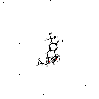 Oc1cc2c(cc1C(F)(F)F)CC1N(CC3CC3)CCC23CCNCCC13O